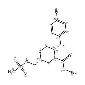 CC(C)(C)OC(=O)N1C[C@H](COS(C)(=O)=O)OC[C@@H]1Cc1ccc(Br)cc1